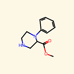 COC(=O)C1CNCCN1c1ccccc1